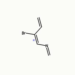 C=C/C(Br)=C\N=C